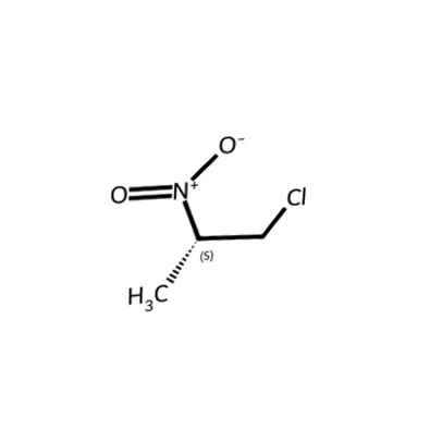 C[C@@H](CCl)[N+](=O)[O-]